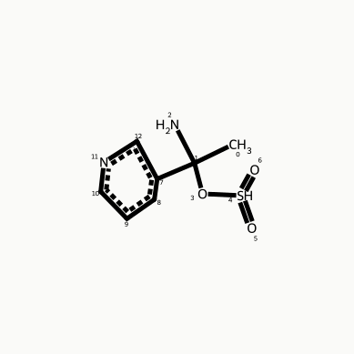 CC(N)(O[SH](=O)=O)c1cccnc1